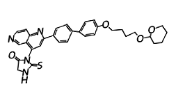 O=C1CNC(=S)N1c1cc(-c2ccc(-c3ccc(OCCCCOC4CCCCO4)cc3)cc2)nc2ccncc12